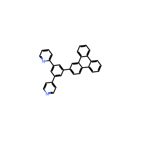 c1ccc(-c2cc(-c3ccncc3)cc(-c3ccc4c5ccccc5c5ccccc5c4c3)c2)nc1